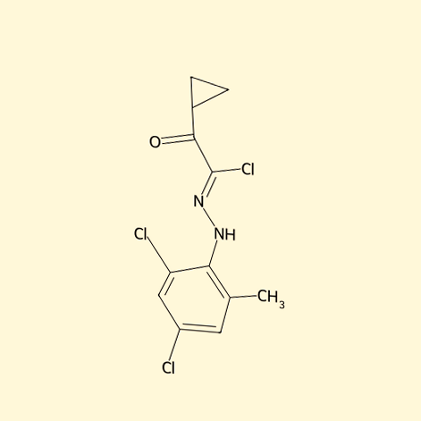 Cc1cc(Cl)cc(Cl)c1NN=C(Cl)C(=O)C1CC1